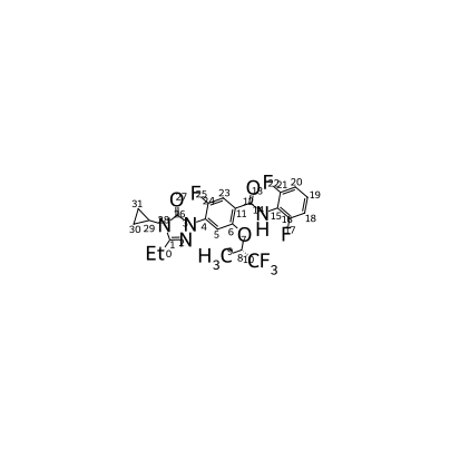 CCc1nn(-c2cc(O[C@@H](C)C(F)(F)F)c(C(=O)Nc3c(F)cccc3F)cc2F)c(=O)n1C1CC1